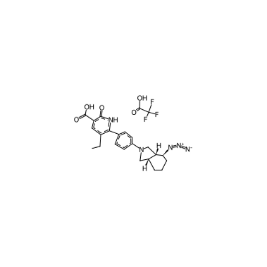 CCc1cc(C(=O)O)c(=O)[nH]c1-c1ccc(N2C[C@H]3CCC[C@H](N=[N+]=[N-])[C@H]3C2)cc1.O=C(O)C(F)(F)F